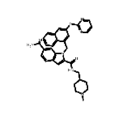 CN1CCC(CNC(=O)c2cc3ccc(C(=N)N)cc3n2Cc2cc(Oc3ncccn3)cc3ccccc23)CC1